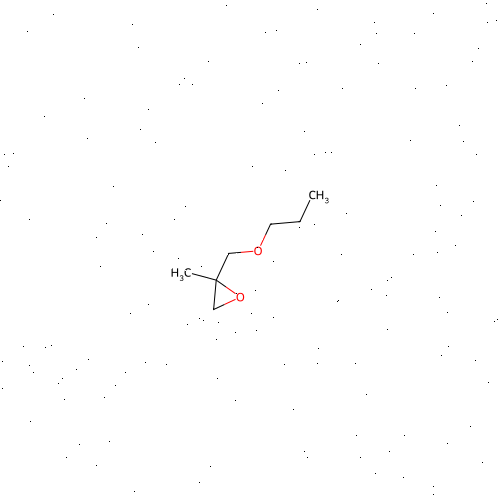 CCCOCC1(C)CO1